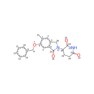 Cc1cc2c(cc1OCc1ccccc1)C(=O)N(C1CCC(=O)NC1=O)C2